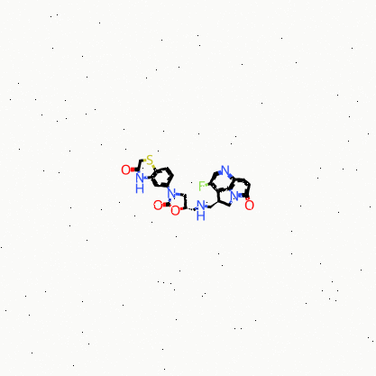 O=C1CSc2ccc(N3C[C@H](CNC[C@@H]4Cn5c(=O)ccc6ncc(F)c4c65)OC3=O)cc2N1